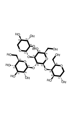 OC[C@H]1O[C@@H](O[C@H]2[C@H](O[C@@H]3[C@H](O)[C@@H](O)CO[C@@H]3CO)O[C@H](CO)[C@@H](O)[C@@H]2O[C@@H]2OC[C@@H](O)[C@H](O)[C@H]2O)[C@H](O)[C@@H](O)[C@@H]1O